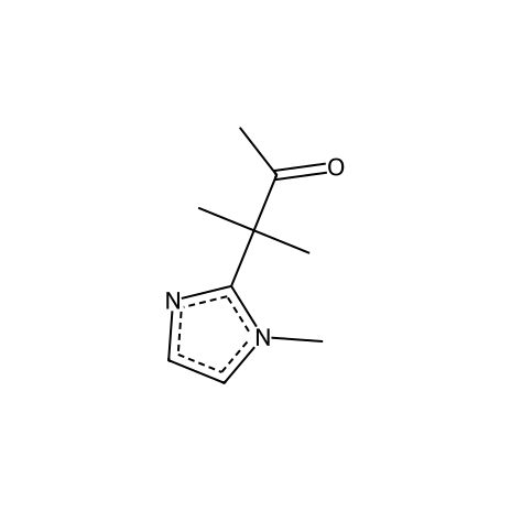 CC(=O)C(C)(C)c1nccn1C